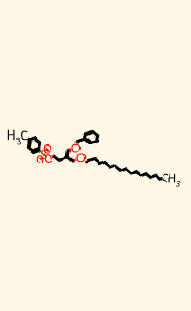 CCCCCCCCCCCCCCCCOCC(CCOS(=O)(=O)c1ccc(C)cc1)COCc1ccccc1